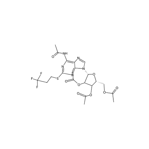 CC(=O)Nc1nc(SCCC(F)(F)F)nc2c1ncn2[C@@H]1O[C@H](COC(C)=O)C(OC(C)=O)C1OC(C)=O